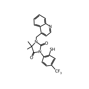 CC1(C)C(=O)N(c2ccc(C(F)(F)F)cc2S)C(=O)N1Cc1ccnc2ccccc12